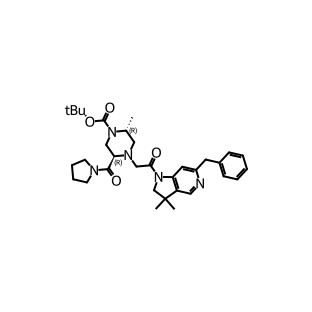 C[C@@H]1CN(CC(=O)N2CC(C)(C)c3cnc(Cc4ccccc4)cc32)[C@@H](C(=O)N2CCCC2)CN1C(=O)OC(C)(C)C